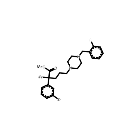 COC(=O)C(CCCN1CCN(Cc2ccccc2F)CC1)(c1cccc(Br)c1)C(C)C